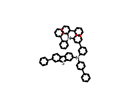 c1ccc(-c2ccc(N(c3cccc(-c4cccc(N(c5ccccc5-c5ccccc5)c5ccccc5-c5ccccc5)c4)c3)c3ccc4c(c3)sc3cc(-c5ccccc5)ccc34)cc2)cc1